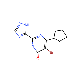 O=c1[nH]c(-c2ncn[nH]2)nc(C2CCCC2)c1Br